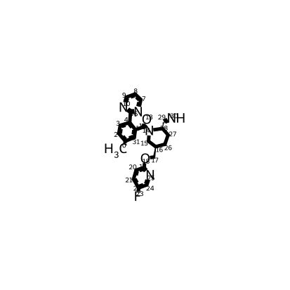 Cc1ccc(-c2ncccn2)c(C(=O)N2C[C@H](COc3ccc(F)cn3)CC[C@H]2C=N)c1